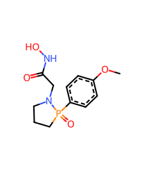 COc1ccc(P2(=O)CCCN2CC(=O)NO)cc1